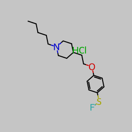 CCCCCN1CCC(CCOc2ccc(SF)cc2)CC1.Cl